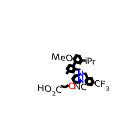 COc1ccc(C(C)C)cc1-c1ccc(C)cc1CN(Cc1cc(C#N)cc(C(F)(F)F)c1)c1ccc(OCCCC(=O)O)cn1